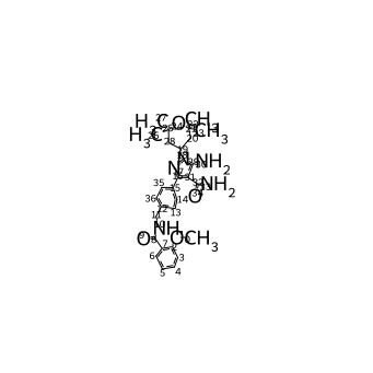 COc1ccccc1C(=O)NCc1ccc(-c2nn(C3CC(C)(C)OC(C)(C)C3)c(N)c2C(N)=O)cc1